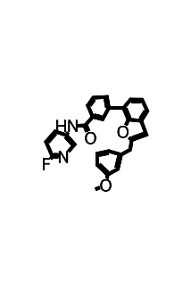 COc1cccc(Cc2cc3cccc(-c4cccc(C(=O)Nc5ccc(F)nc5)c4)c3o2)c1